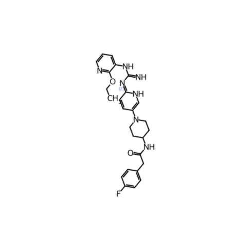 CCOc1ncccc1NC(=N)/N=c1/ccc(N2CCC(NC(=O)Cc3ccc(F)cc3)CC2)c[nH]1